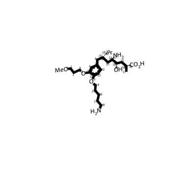 COCCCOc1cc(C[C@@H](C[C@H](N)[C@@H](O)C[C@@H](C)C(=O)O)C(C)C)ccc1OCCCCCN